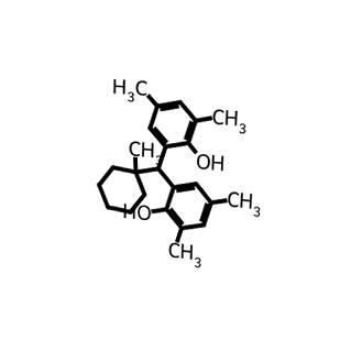 Cc1cc(C)c(O)c(C(c2cc(C)cc(C)c2O)C2(C)CCCCC2)c1